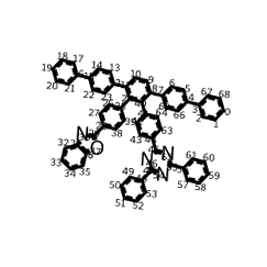 c1ccc(-c2ccc(-c3ccc(-c4ccc(-c5ccccc5)cc4)c(-c4ccc(-c5nc6ccccc6o5)cc4)c3-c3ccc(-c4nc(-c5ccccc5)nc(-c5ccccc5)n4)cc3)cc2)cc1